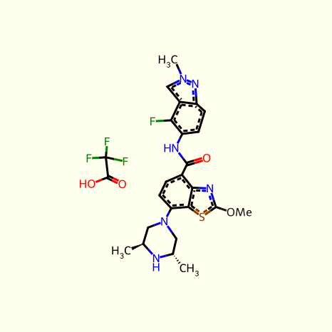 COc1nc2c(C(=O)Nc3ccc4nn(C)cc4c3F)ccc(N3C[C@H](C)N[C@@H](C)C3)c2s1.O=C(O)C(F)(F)F